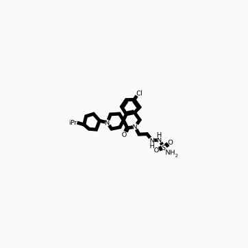 CC(C)C1CCC(N2CCC3(CC2)C(=O)N(CCNNS(N)(=O)=O)Cc2cc(Cl)ccc23)CC1